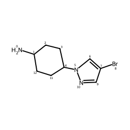 NC1CCC(n2cc(Br)cn2)CC1